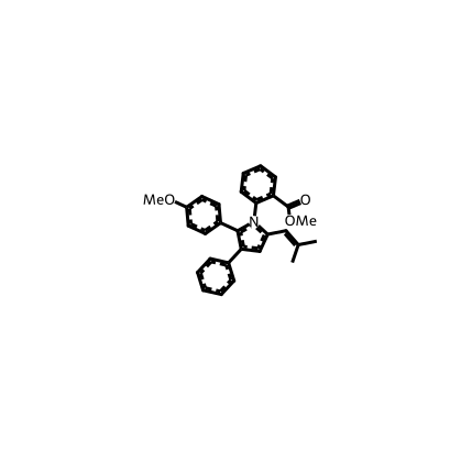 COC(=O)c1ccccc1-n1c(C=C(C)C)cc(-c2ccccc2)c1-c1ccc(OC)cc1